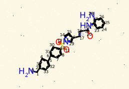 NCc1ccc(-c2ccc(S(=O)(=O)n3ccc(/C=C/C(=O)Nc4ccccc4N)c3)cc2)cc1